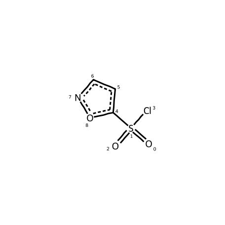 O=S(=O)(Cl)c1ccno1